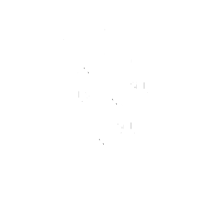 CCN(CC)[SiH2]N([SiH2]C)[SiH2]N(CC)CC